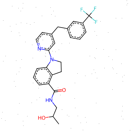 CC(O)CNC(=O)c1cccc2c1CCN2c1cc(Cc2cccc(C(F)(F)F)c2)ccn1